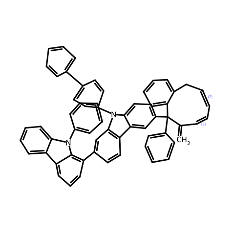 C=C1/C=C\C=C/Cc2ccccc2C1(c1ccccc1)c1ccc2c(c1)c1ccc(-c3cccc4c5ccccc5n(-c5ccccc5)c34)cc1n2-c1ccc(-c2ccccc2)cc1